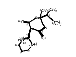 CC(C)C1(C)CC(=O)C(=C2NCCCN2)C(=O)C1